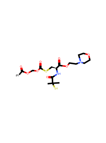 CC(C)C(=O)OCOC(=O)SC[C@H](NC(=O)C(C)(C)S)C(=O)OCCN1CCOCC1